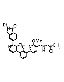 [CH2]CN1Cc2cc(-c3nccc(-c4cccc(-c5ccc(CNC[C@H](C)O)c(OC)n5)c4Cl)c3Cl)ccc2C1=O